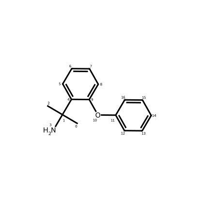 CC(C)(N)c1ccccc1Oc1ccccc1